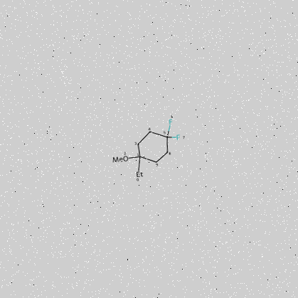 [CH2]CC1(OC)CCC(F)(F)CC1